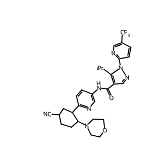 CC(C)c1c(C(=O)Nc2ccc(C3CC(C#N)CCC3N3CCOCC3)nc2)cnn1-c1ccc(C(F)(F)F)cn1